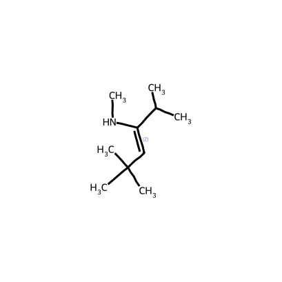 CN/C(=C\C(C)(C)C)C(C)C